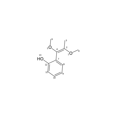 COC(C)=C(OC)c1ccccc1O